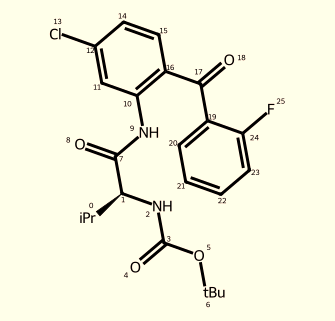 CC(C)[C@H](NC(=O)OC(C)(C)C)C(=O)Nc1cc(Cl)ccc1C(=O)c1ccccc1F